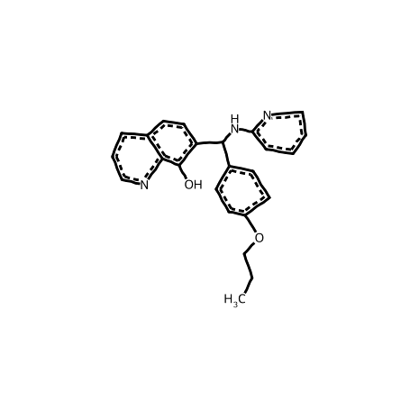 CCCOc1ccc(C(Nc2ccccn2)c2ccc3cccnc3c2O)cc1